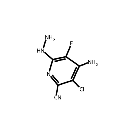 N#Cc1nc(NN)c(F)c(N)c1Cl